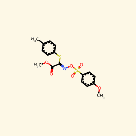 COC(=O)/C(=N/OS(=O)(=O)c1ccc(OC)cc1)Sc1ccc(C)cc1